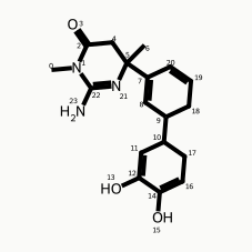 CN1C(=O)CC(C)(C2=CC(C3C=C(O)C(O)=CC3)CC=C2)N=C1N